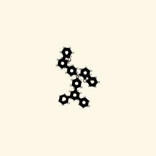 C1=CCC(c2cc(-c3ccccc3)cc(-c3ccc(N(c4ccc(-c5cccc6c5oc5ccccc56)cc4)c4cccc5c4oc4ccccc45)cc3)c2)C=C1